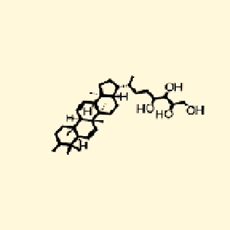 CC(CCC(O)C(O)C(O)CO)[C@H]1CC[C@]2(C)[C@H]3C=C[C@@H]4[C@@]5(C)CCC(C)C(C)(C)[C@@H]5C=C[C@@]4(C)[C@]3(C)CC[C@@H]12